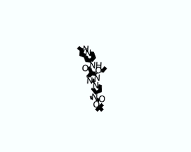 CCOc1nc(N2CC[C@H](N(C)C(=O)OC(C)(C)C)C2)ncc1C(=O)Nc1ccn2nc(C)cc2c1